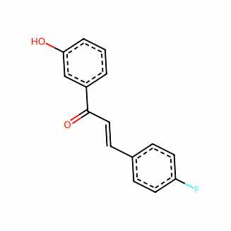 O=C(C=Cc1ccc(F)cc1)c1cccc(O)c1